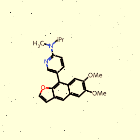 COc1cc2cc3ccoc3c(-c3ccc(N(C)C(C)C)nc3)c2cc1OC